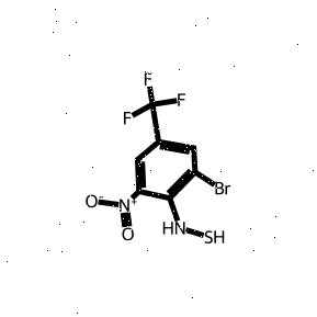 O=[N+]([O-])c1cc(C(F)(F)F)cc(Br)c1NS